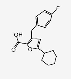 O=C(O)c1oc(C2CCCCC2)cc1Cc1ccc(F)cc1